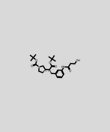 CC(C)(C)OC(=O)[C@@H](Cc1cccc(NC(=O)CCO)c1)[C@H]1CCN(C(=O)OC(C)(C)C)C1